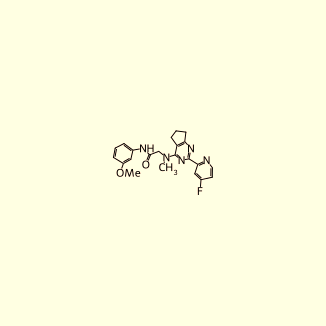 COc1cccc(NC(=O)CN(C)c2nc(-c3cc(F)ccn3)nc3c2CCC3)c1